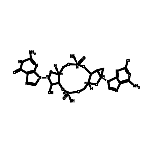 Nc1nc2c(ncn2[C@@H]2O[C@@H]3CO[P@@](=O)(S)OC4C5C[C@@]5(n5cnc6c(N)nc(Cl)nc65)O[C@@H]4CO[P@@](=O)(S)OC3C2O)c(=O)[nH]1